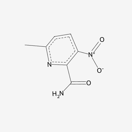 Cc1ccc([N+](=O)[O-])c(C(N)=O)n1